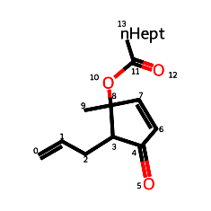 C=CCC1C(=O)C=CC1(C)OC(=O)CCCCCCC